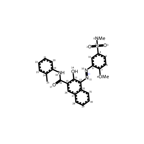 CNS(=O)(=O)c1ccc(OC)c(/N=N/c2c(O)c(C(=O)Nc3ccccc3C)cc3ccccc23)c1